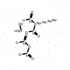 CCCCCCO.O=[PH]([O-])O[PH](=O)[O-].O=[PH]([O-])O[PH](=O)[O-].[Na+].[Na+].[Na+].[Na+]